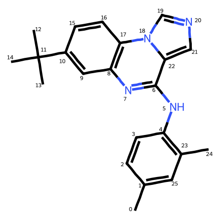 Cc1ccc(Nc2nc3cc(C(C)(C)C)ccc3n3cncc23)c(C)c1